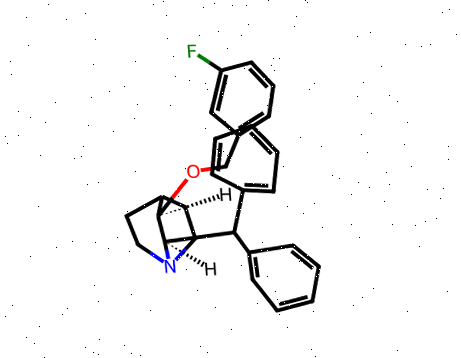 Fc1cccc(CO[C@@H]2C3CCN(CC3)[C@@H]2C(c2ccccc2)c2ccccc2)c1